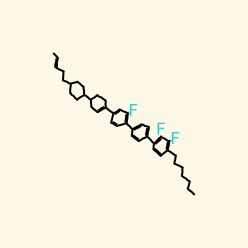 C/C=C/CCC1CCC(C2CC=C(c3ccc(-c4ccc(-c5ccc(CCCCCCC)c(F)c5F)cc4)c(F)c3)CC2)CC1